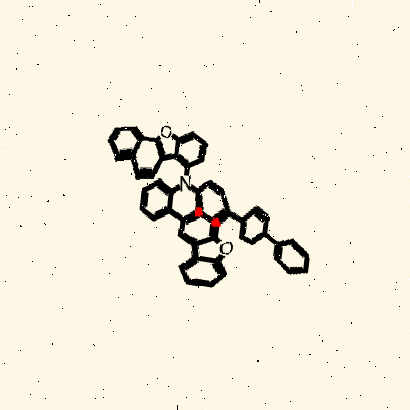 c1ccc(-c2ccc(-c3ccc(N(c4ccccc4-c4ccc5oc6ccccc6c5c4)c4cccc5oc6c7ccccc7ccc6c45)cc3)cc2)cc1